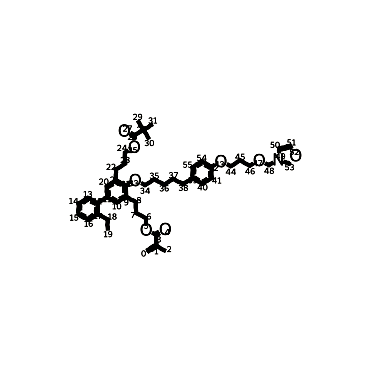 C=C(C)C(=O)OCCCc1cc(-c2ccccc2CC)cc(CCCOC(=O)C(C)(C)C)c1OCCCCCc1ccc(OCCCOCN2C=COC2)cc1